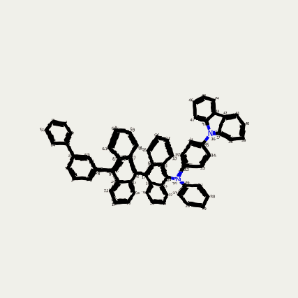 c1ccc(-c2cccc(-c3c4ccccc4c(-c4c5ccccc5c(N(c5ccccc5)c5ccc(-n6c7ccccc7c7ccccc76)cc5)c5ccccc45)c4ccccc34)c2)cc1